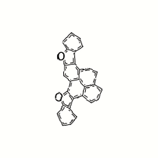 c1ccc2c(c1)oc1cc3c4oc5ccccc5c4c4cccc5ccc(c12)c3c54